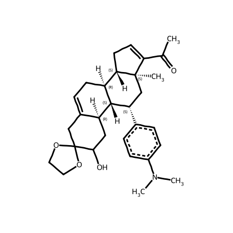 CC(=O)C1=CC[C@H]2[C@@H]3CC=C4CC5(OCCO5)C(O)C[C@@H]4[C@H]3[C@@H](c3ccc(N(C)C)cc3)C[C@]12C